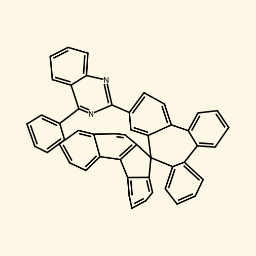 c1ccc(-c2nc(-c3ccc4c(c3)C3(c5ccccc5-c5ccccc5-4)c4ccccc4-c4c3ccc3ccccc43)nc3ccccc23)cc1